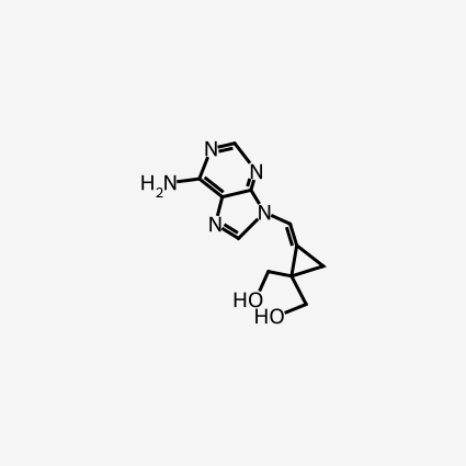 Nc1ncnc2c1ncn2C=C1CC1(CO)CO